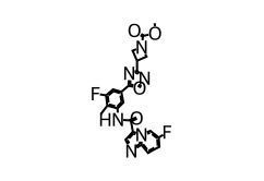 COC(=O)N1CC(c2noc(-c3cc(F)c(C)c(NC(=O)c4cnc5ccc(F)cn45)c3)n2)C1